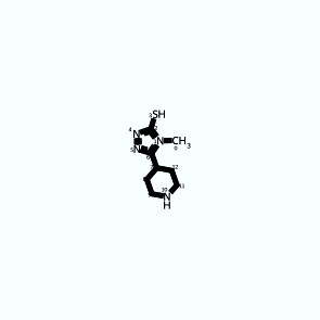 Cn1c(S)nnc1C1CCNCC1